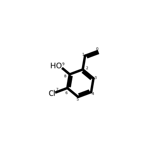 C=Cc1cccc(Cl)c1O